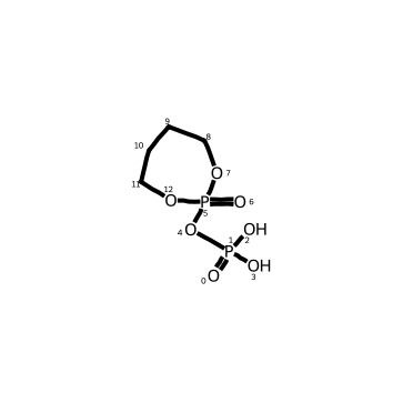 O=P(O)(O)OP1(=O)OCCCCO1